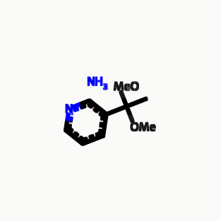 COC(C)(OC)c1cccnc1.N